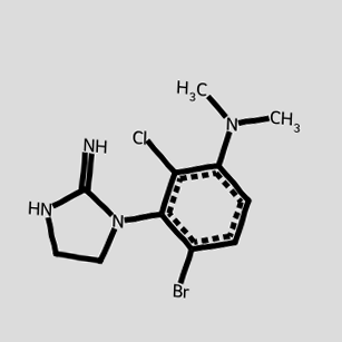 CN(C)c1ccc(Br)c(N2CCNC2=N)c1Cl